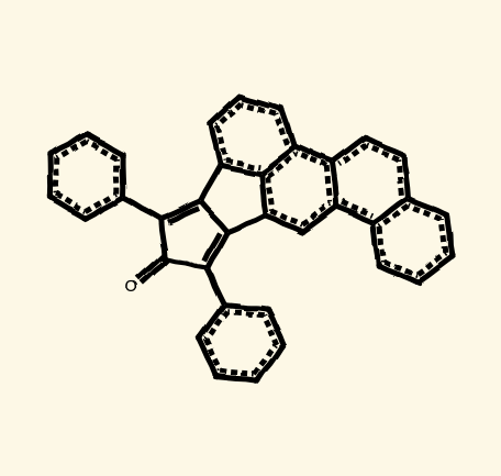 O=C1C(c2ccccc2)=C2C(=C1c1ccccc1)c1cc3c4ccccc4ccc3c3cccc2c13